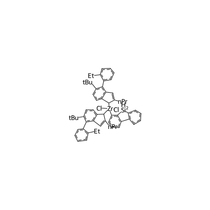 CCCC1=Cc2c(ccc(C(C)(C)C)c2-c2ccccc2CC)[CH]1[Zr]([Cl])([Cl])([c]1cccc2c1[SiH2]c1ccccc1-2)[CH]1C(CCC)=Cc2c1ccc(C(C)(C)C)c2-c1ccccc1CC